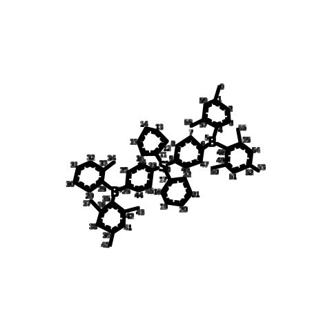 Cc1ccc(B(c2ccc([Si](c3ccccc3)(c3ccccc3)c3ccc(B(c4ccccc4C)c4c(C)cc(C)cc4C)cc3)cc2)c2c(C)cc(C)cc2C)c(C)c1